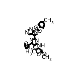 COC(=O)CC(Nc1cc(-c2ccco2)nc(-c2cn(S(=O)(=O)c3ccc(C)cc3)c3ncncc23)n1)C(C)(C)C